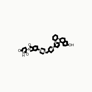 O=C1CC[C@H](N2Cc3cc(N4CCN(CC5CCN(c6ccc([C@@H]7c8ccc(O)cc8CC[C@@H]7C7CCCCC7)nc6)CC5)CC4)ccc3C2=O)C(=O)N1